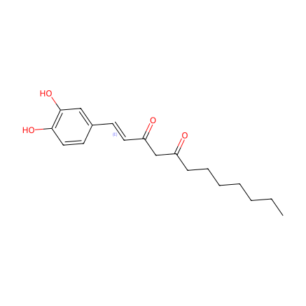 CCCCCCCC(=O)CC(=O)/C=C/c1ccc(O)c(O)c1